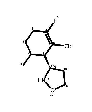 CC1CCC(F)=C(Cl)C1[C@H]1CCON1